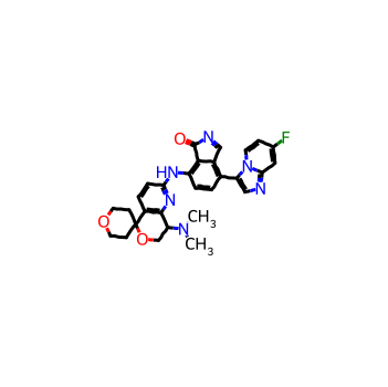 CN(C)C1COC2(CCOCC2)c2ccc(Nc3ccc(-c4cnc5cc(F)ccn45)c4c3C(=O)N=C4)nc21